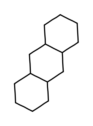 C1CCC2CC3CCCCC3CC2C1